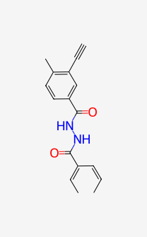 C#Cc1cc(C(=O)NNC(=O)C(/C=C\C)=C/C)ccc1C